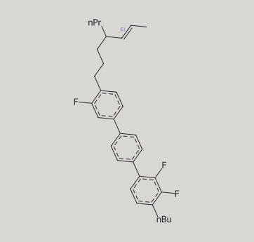 C/C=C/C(CCC)CCCc1ccc(-c2ccc(-c3ccc(CCCC)c(F)c3F)cc2)cc1F